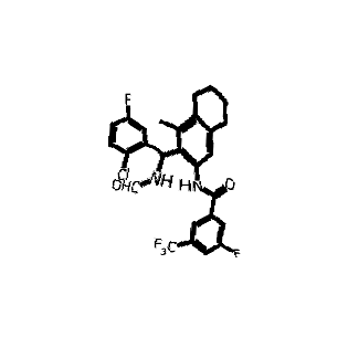 Cc1c2c(cc(NC(=O)c3cc(F)cc(C(F)(F)F)c3)c1C(NC=O)c1cc(F)ccc1Cl)CCCC2